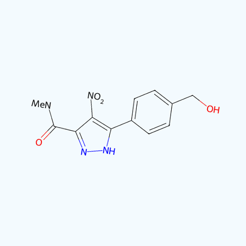 CNC(=O)c1n[nH]c(-c2ccc(CO)cc2)c1[N+](=O)[O-]